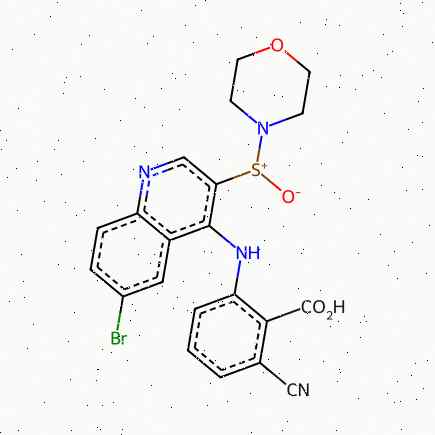 N#Cc1cccc(Nc2c([S+]([O-])N3CCOCC3)cnc3ccc(Br)cc23)c1C(=O)O